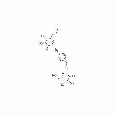 OCC[C@H]1O[C@H](C#Cc2ccc(/C=C/C[C@H]3O[C@H](CO)[C@@H](O)[C@H](O)[C@@H]3O)cc2)[C@@H](O)[C@@H](O)[C@@H]1O